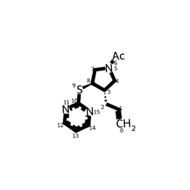 C=CC[C@H]1CN(C(C)=O)C[C@@H]1Sc1ncccn1